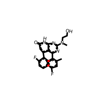 Cc1cc(F)ccc1-c1nc(N(C)CCO)nc2[nH]c(=O)cc(-c3c(F)cccc3F)c12